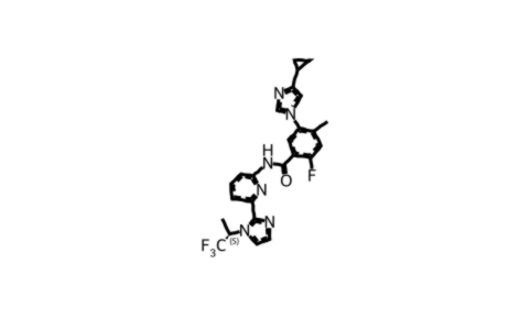 Cc1cc(F)c(C(=O)Nc2cccc(-c3nccn3[C@@H](C)C(F)(F)F)n2)cc1-n1cnc(C2CC2)c1